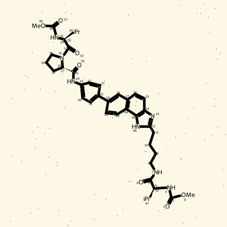 COC(=O)N[C@H](C(=O)NCCCCc1nc2ccc3cc(-c4ccc(NC(=O)[C@@H]5CCCN5C(=O)[C@@H](NC(=O)OC)C(C)C)cc4)ccc3c2[nH]1)C(C)C